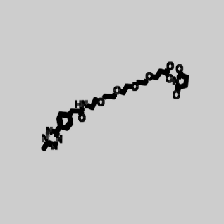 Cc1nnc(-c2ccc(CC(=O)NCCOCCOCCOCCOCCC(=O)ON3C(=O)CCC3=O)cc2)nn1